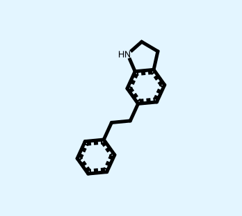 c1ccc(CCc2ccc3c(c2)NCC3)cc1